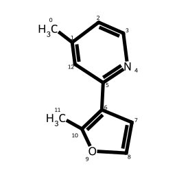 Cc1ccnc(-c2ccoc2C)c1